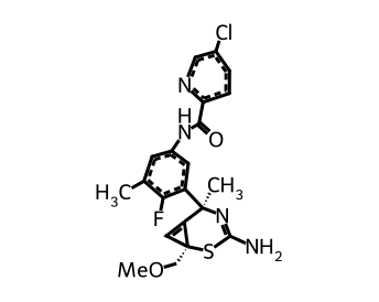 COC[C@]12C=C1[C@@](C)(c1cc(NC(=O)c3ccc(Cl)cn3)cc(C)c1F)N=C(N)S2